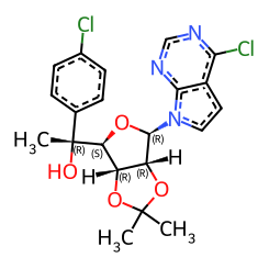 CC1(C)O[C@@H]2[C@H](O1)[C@@H]([C@](C)(O)c1ccc(Cl)cc1)O[C@H]2n1ccc2c(Cl)ncnc21